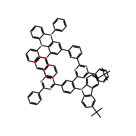 CC(C)(C)c1ccc2c(c1)c1cc(C(C)(C)C)ccc1n2-c1ccc(-c2nc(-c3ccccc3)nc(-c3ccccc3)n2)cc1-c1cc(-c2ccccc2)nc(-c2cccc(-c3cc4c5c(c3)N(c3ccccc3)c3ccccc3B5c3ccccc3N4c3ccccc3)c2)n1